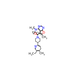 CCC1=C(C)CC=C(C2CCN(C(=O)c3c(C)oc4ncnc(N(C)C5(C)CC5)c34)CC2)N=C1